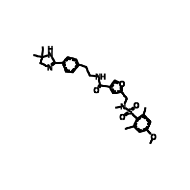 COc1cc(C)c(S(=O)(=O)N(C)Cc2cc(C(=O)NCCc3ccc(C4=NCC(C)(C)N4)cc3)co2)c(C)c1